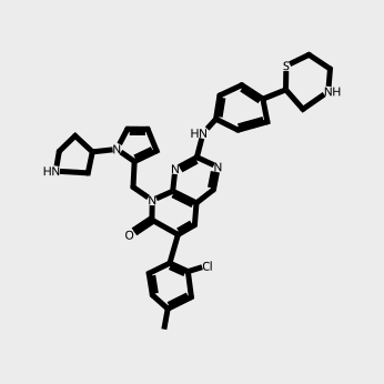 Cc1ccc(-c2cc3cnc(Nc4ccc(C5CNCCS5)cc4)nc3n(Cc3cccn3C3CCNC3)c2=O)c(Cl)c1